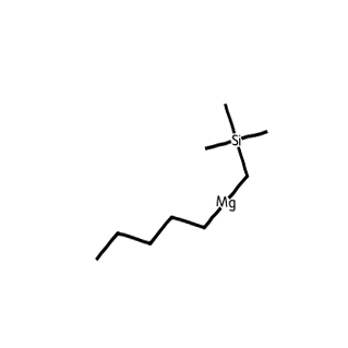 CCCC[CH2][Mg][CH2][Si](C)(C)C